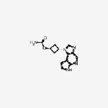 NC(=O)O[C@H]1C[C@H](n2cnc3cnc4[nH]ccc4c32)C1